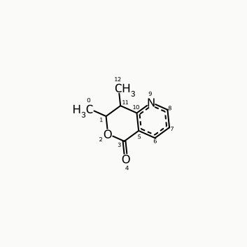 CC1OC(=O)c2cccnc2C1C